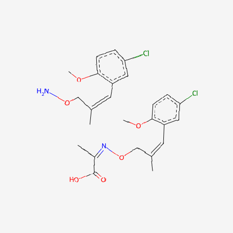 COc1ccc(Cl)cc1C=C(C)CON.COc1ccc(Cl)cc1C=C(C)CON=C(C)C(=O)O